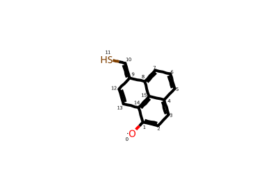 [O]c1ccc2cccc3c(=CS)ccc1c23